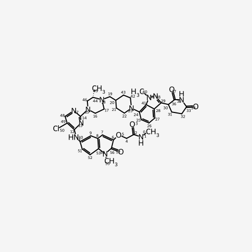 CNC(=O)COc1cc2cc(Nc3nc(N4CCN(CC5CCN(c6cccc7c(C8CCC(=O)NC8=O)nn(C)c67)CC5)[C@@H](C)C4)ncc3Cl)ccc2n(C)c1=O